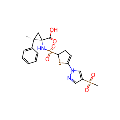 C[C@]1(c2ccccc2)C[C@@]1(NS(=O)(=O)C1CC=C(n2cc(S(C)(=O)=O)cn2)S1)C(=O)O